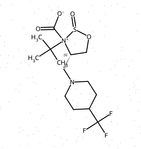 CC(C)(C)[N+]1(C(=O)[O-])[C@@H](CN2CCC(C(F)(F)F)CC2)COS1=O